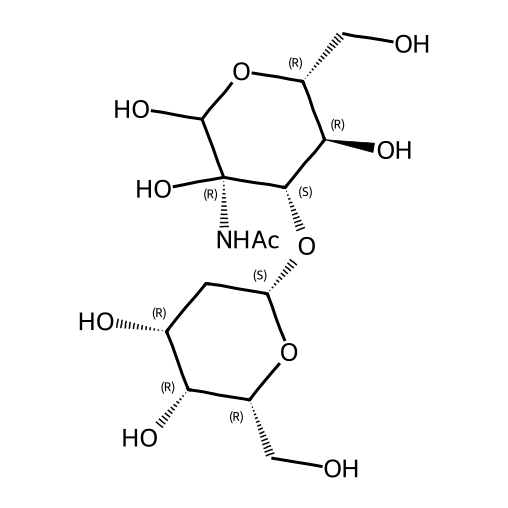 CC(=O)N[C@]1(O)C(O)O[C@H](CO)[C@@H](O)[C@@H]1O[C@H]1C[C@@H](O)[C@@H](O)[C@@H](CO)O1